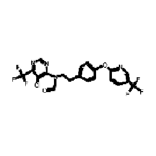 O=CN(CCc1ccc(Oc2ccc(C(F)(F)F)cn2)cc1)c1ncnc(C(F)(F)F)c1Cl